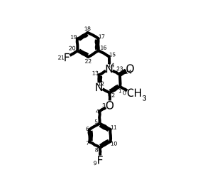 Cc1c(OCc2ccc(F)cc2)ncn(Cc2cccc(F)c2)c1=O